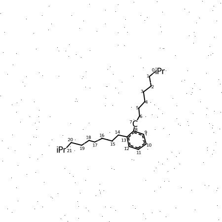 CC(C)CCCCCCCc1[c]cccc1CCCCCCCC(C)C